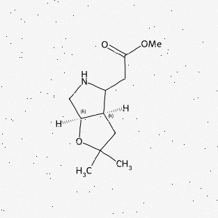 COC(=O)CC1NC[C@@H]2OC(C)(C)C[C@H]12